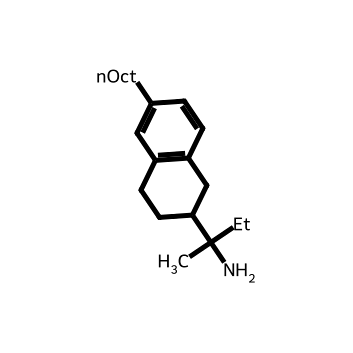 CCCCCCCCc1ccc2c(c1)CCC(C(C)(N)CC)C2